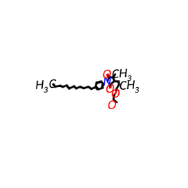 CCCCCCCCCCCCc1ccc(N2C(=O)C(C)C(CC(C)COCC3CO3)C2=O)cc1